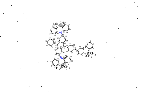 CC1(C)c2ccccc2-c2cc(-c3ccc(-c4c5ccc(N6c7ccccc7[Si](C)(C)c7ccccc76)cc5c(-c5ccccc5)c5ccc(N6c7ccccc7[Si](C)(C)c7ccccc76)cc45)cc3)ccc21